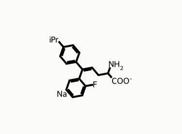 CC(C)c1ccc(/C(=C/CC(N)C(=O)[O-])c2ccccc2F)cc1.[Na+]